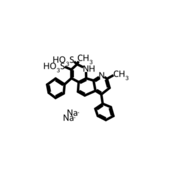 Cc1cc(-c2ccccc2)c2ccc3c(c2n1)NC(C)(S(=O)(=O)O)C(S(=O)(=O)O)=C3c1ccccc1.[Na].[Na]